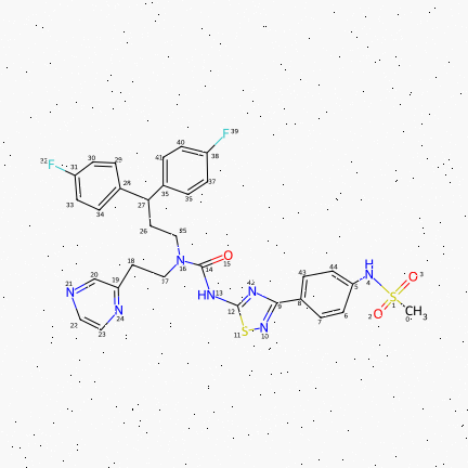 CS(=O)(=O)Nc1ccc(-c2nsc(NC(=O)N(CCc3cnccn3)CCC(c3ccc(F)cc3)c3ccc(F)cc3)n2)cc1